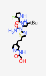 CC(C)(C)c1cc(N(C(N)=O)c2ncc(CCc3ccnc(NC(=O)CO)c3)s2)n(C(=O)C2NCCC2F)n1